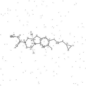 Cc1nc2c(cc1COCC1CC1)C[C@@H]1CN(C(=O)OC(C)(C)C)C[C@@H](C)N21